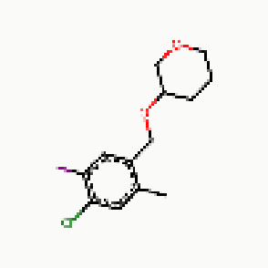 Cc1cc(Cl)c(I)cc1COC1CCCOC1